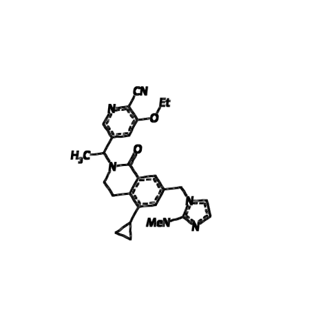 CCOc1cc(C(C)N2CCc3c(cc(Cn4ccnc4NC)cc3C3CC3)C2=O)cnc1C#N